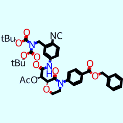 [C-]#[N+]c1ccc(NC(=O)[C@H](OC(C)=O)[C@H]2OCCN(c3ccc(C(=O)OCc4ccccc4)cc3)C2=O)cc1CN(C(=O)OC(C)(C)C)C(=O)OC(C)(C)C